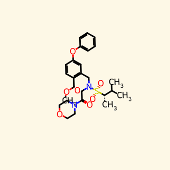 COC(=O)c1ccc(Oc2ccccc2)cc1CN(CC(=O)N1CCOCC1)S(=O)(=O)[C@@H](C)C(C)C